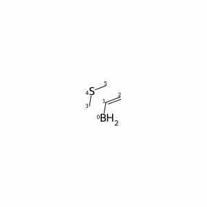 BC=C.CSC